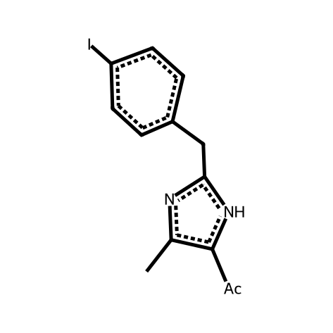 CC(=O)c1[nH]c(Cc2ccc(I)cc2)nc1C